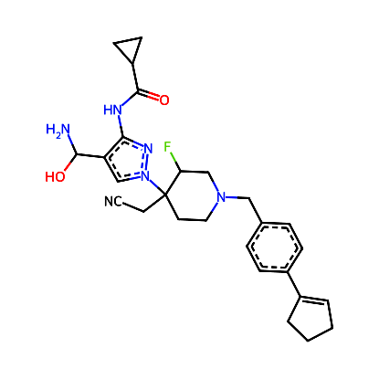 N#CCC1(n2cc(C(N)O)c(NC(=O)C3CC3)n2)CCN(Cc2ccc(C3=CCCC3)cc2)CC1F